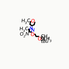 Cc1c([N+](=O)[O-])c(OCCCO[Si](C)(C)C(C)(C)C)nn1C1CCOC(C)C1